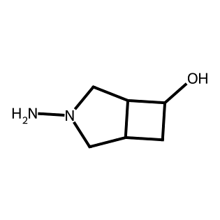 NN1CC2CC(O)C2C1